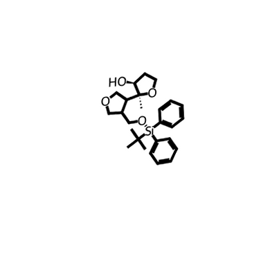 CC(C)(C)[Si](OCC1COCC1[C@]1(C)OCC[C@@H]1O)(c1ccccc1)c1ccccc1